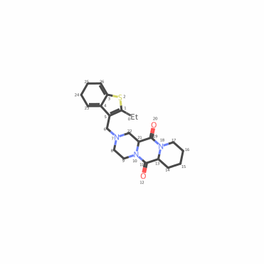 CCc1sc2c(c1CN1CCN3C(=O)C4CCCCN4C(=O)C3C1)=CCCC=2